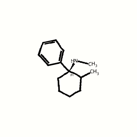 CN[C@]1(c2ccccc2)CCCCC1C